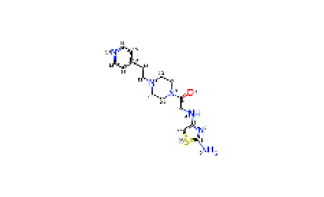 Nc1nc(NCC(=O)N2CCN(CCc3ccncc3)CC2)cs1